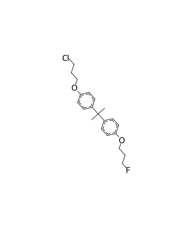 CC(C)(c1ccc(OCCCF)cc1)c1ccc(OCCCCl)cc1